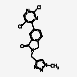 Cn1cc(CN2Cc3ccc(-c4nc(Cl)ncc4Cl)cc3C2=O)nn1